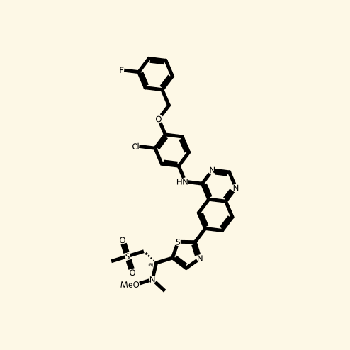 CON(C)[C@H](CS(C)(=O)=O)c1cnc(-c2ccc3ncnc(Nc4ccc(OCc5cccc(F)c5)c(Cl)c4)c3c2)s1